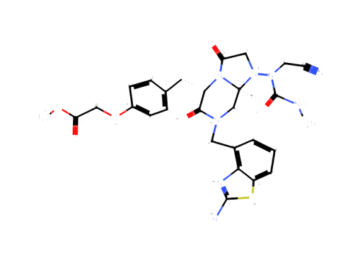 CNC(=O)N(CC#N)N1CC(=O)N2[C@@H](Cc3ccc(OCC(=O)OC)cc3)C(=O)N(Cc3cccc4sc(N)nc34)C[C@@H]21